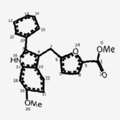 COC(=O)c1ccc(Cc2c(-c3ccccc3)[nH]c3cc(OC)ccc23)o1